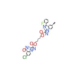 C#Cc1ccc2c(c1)C(c1ccccc1F)=NCc1c(C(=O)OCCCCCOC(=O)c3ncn4c3CN(C)C(=O)c3cc(Cl)ccc3-4)ncn1-2